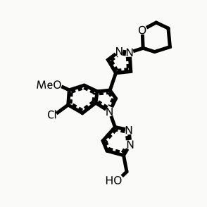 COc1cc2c(-c3cnn(C4CCCCO4)c3)cn(-c3ccc(CO)nn3)c2cc1Cl